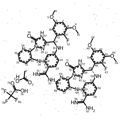 CC(=O)O.COc1cc(OC)c(F)c(C(Nc2ccc(C(=N)N)cc2)c2nn(-c3ncccc3N)c(=O)[nH]2)c1.COc1cc(OC)c(F)c([C@H](Nc2ccc(C(=N)N)cc2)c2nn(-c3ncccc3N)c(=O)[nH]2)c1.O=C(O)C(F)(F)F